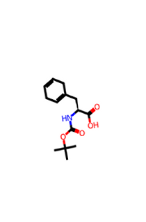 CC(C)(C)OC(=O)N[C@@H](CC1=CCC=CC1)C(=O)O